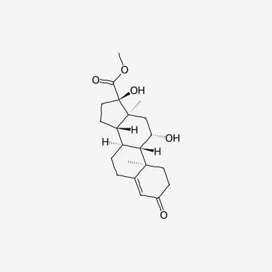 COC(=O)[C@@]1(O)CC[C@H]2[C@@H]3CCC4=CC(=O)CC[C@]4(C)[C@H]3[C@@H](O)C[C@@]21C